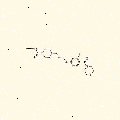 CC(C)(C)OC(=O)N1CCC(CCCOc2ccc(C(=O)N3CCOCC3)c(F)c2)CC1